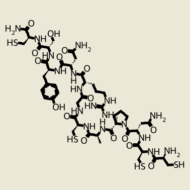 C[C@H](NC(=O)[C@@H]1CCCN1C(=O)[C@H](CC(N)=O)NC(=O)[C@H](CS)NC(=O)[C@@H](N)CS)C(=O)N[C@@H](CS)C(=O)NCC(=O)N[C@@H](CCCNC(=N)N)C(=O)N[C@@H](CC(N)=O)C(=O)N[C@@H](Cc1ccc(O)cc1)C(=O)N[C@@H](CO)C(=O)N[C@@H](CS)C(N)=O